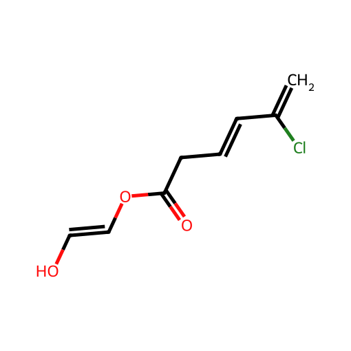 C=C(Cl)C=CCC(=O)OC=CO